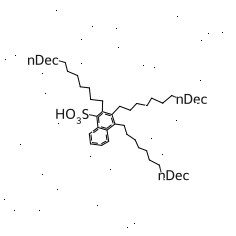 CCCCCCCCCCCCCCCCCc1c(CCCCCCCCCCCCCCCCC)c(S(=O)(=O)O)c2ccccc2c1CCCCCCCCCCCCCCCCC